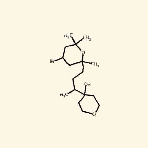 CC(C)C1CC(C)(C)OC(C)(CCC(C)C2(O)CCOCC2)C1